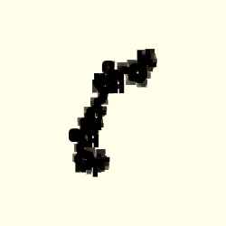 O=C(NCc1cncc(C(F)(F)F)c1)c1cn(CC(F)CCc2nnc(C(=O)NCc3cccc(C(F)(F)F)c3)s2)nn1